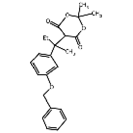 CCC(C)(c1cccc(OCc2ccccc2)c1)C1C(=O)OC(C)(C)OC1=O